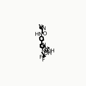 CN1c2nc(C3=CCC(NC(=O)c4cn(C)cn4)CC3)ccc2N(CC2CC2(F)F)S1(O)O